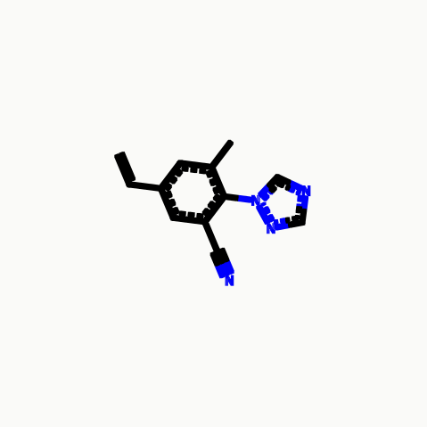 C=Cc1cc(C)c(-n2cncn2)c(C#N)c1